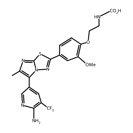 COc1cc(-c2nn3c(-c4cnc(N)c(C(F)(F)F)c4)c(C)nc3s2)ccc1OCCNC(=O)O